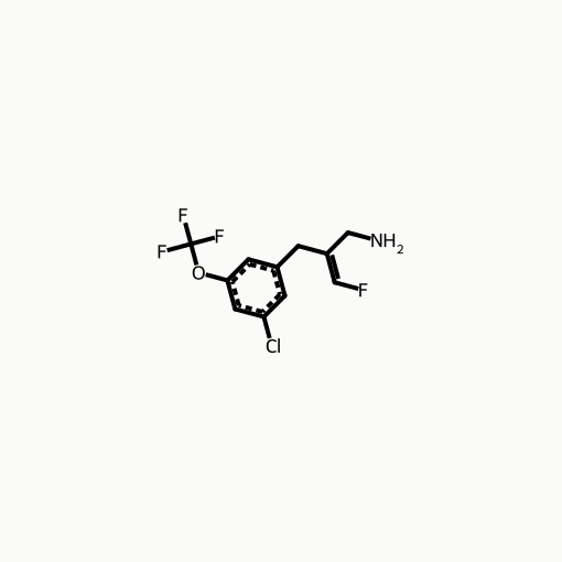 NCC(=CF)Cc1cc(Cl)cc(OC(F)(F)F)c1